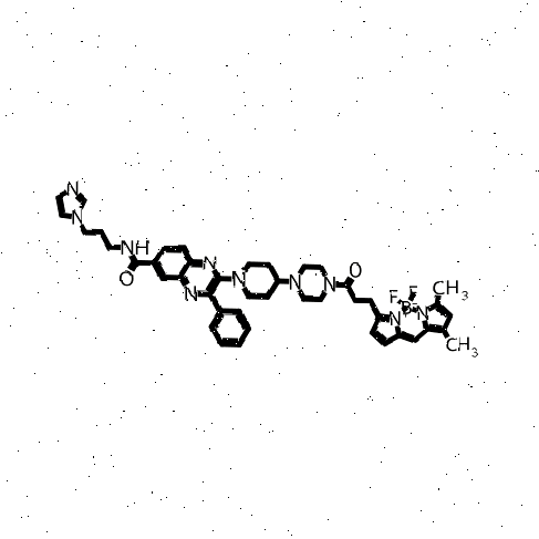 Cc1cc(C)n2c1C=C1C=CC(CCC(=O)N3CCN(C4CCN(c5nc6ccc(C(=O)NCCCn7ccnc7)cc6nc5-c5ccccc5)CC4)CC3)=[N+]1[B-]2(F)F